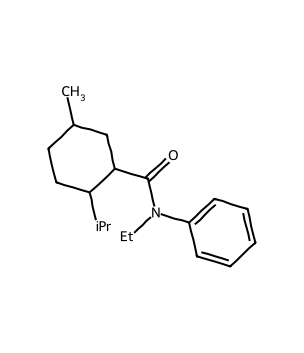 CCN(C(=O)C1CC(C)CCC1C(C)C)c1ccccc1